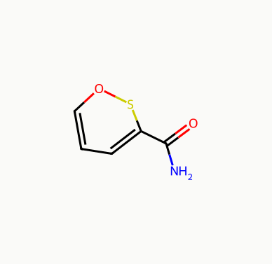 NC(=O)C1=CC=COS1